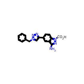 Nc1nn(C(=O)O)c2ccc(-c3cn(Cc4ccccc4)nn3)cc12